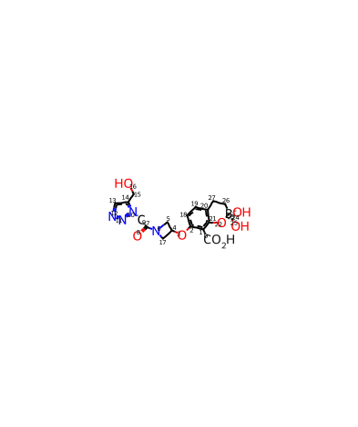 O=C(O)c1c(OC2CN(C(=O)Cn3nncc3CO)C2)ccc2c1O[B-](O)(O)CC2